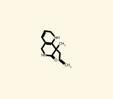 C=CCC1(C)C(=O)NCC2=C1NCC=C2